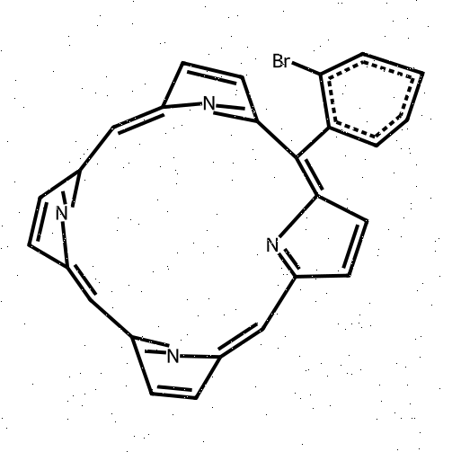 Brc1ccccc1C1=C2C=CC(=N2)C=C2C=CC(=N2)C=C2C=CC(=N2)C=C2C=CC1=N2